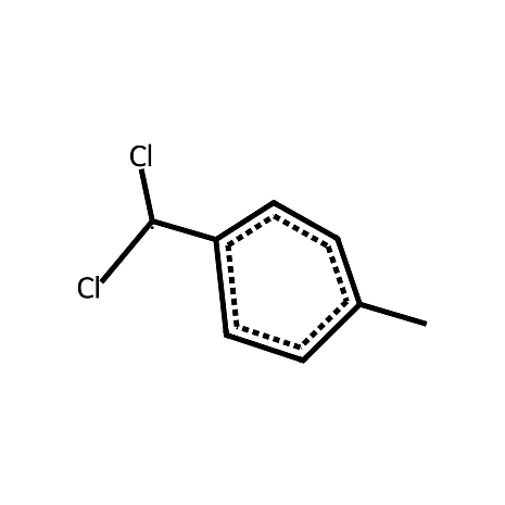 Cc1ccc([C](Cl)Cl)cc1